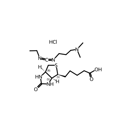 CCN=C=NCCCN(C)C.Cl.O=C(O)CCCC[C@@H]1SC[C@@H]2NC(=O)N[C@@H]21